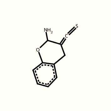 NC1Oc2ccccc2CC1=C=S